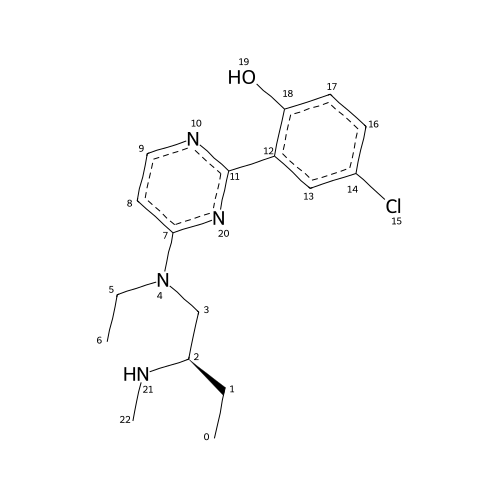 CC[C@H](CN(CC)c1ccnc(-c2cc(Cl)ccc2O)n1)NC